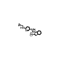 CC[N@+]1(C(=O)Nc2ccc(NCC3CC3)nc2)C(Cl)=Cc2ccccc21